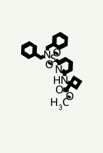 COC(=O)C1(Nc2cccc(S(=O)(=O)N(Cc3ccccc3)Cc3ccccc3)n2)CCC1